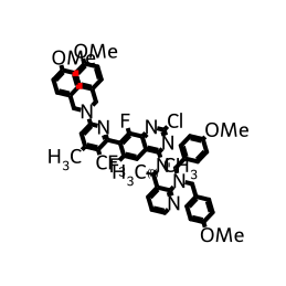 COc1ccc(CN(Cc2ccc(OC)cc2)c2cc(C)c(C(F)(F)F)c(-c3c(F)cc4c(N(C)[C@H](C)c5cccnc5N(Cc5ccc(OC)cc5)Cc5ccc(OC)cc5)nc(Cl)nc4c3F)n2)cc1